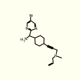 C=CCN(C)CC#CC1CCC(C(N)c2ncc(Br)cn2)CC1